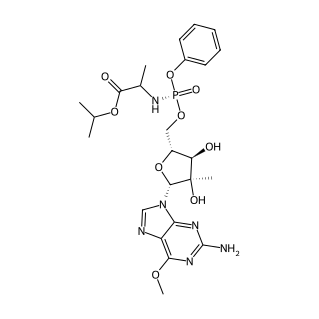 COc1nc(N)nc2c1ncn2[C@@H]1O[C@H](CO[P@@](=O)(NC(C)C(=O)OC(C)C)Oc2ccccc2)[C@@H](O)[C@@]1(C)O